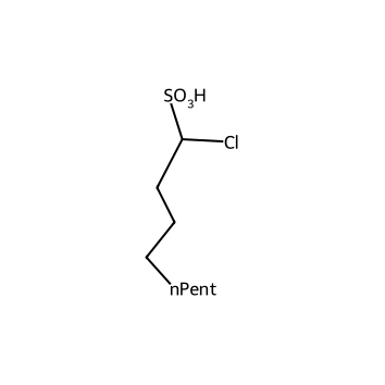 CCCCCCCCC(Cl)S(=O)(=O)O